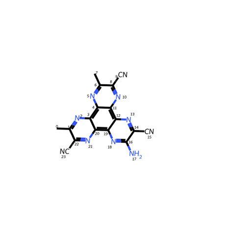 Cc1nc2c3nc(C)c(C#N)nc3c3nc(C#N)c(N)nc3c2nc1C#N